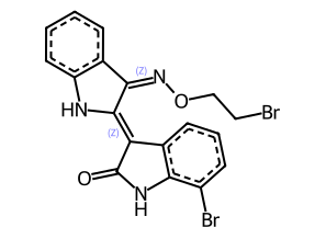 O=C1Nc2c(Br)cccc2/C1=C1/Nc2ccccc2/C1=N/OCCBr